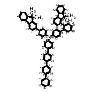 CC1(C)c2ccccc2-c2ccc(-c3ccc(N(c4ccc(-c5ccc(-c6ccc(-c7ccccc7)cc6)cc5)cc4)c4ccc(-c5ccccc5-c5cccc6c5C(C)(C)c5ccccc5-6)cc4)cc3)cc21